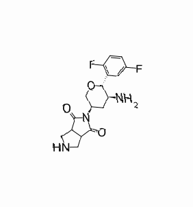 N[C@H]1C[C@@H](N2C(=O)C3CNCC3C2=O)CO[C@@H]1c1cc(F)ccc1F